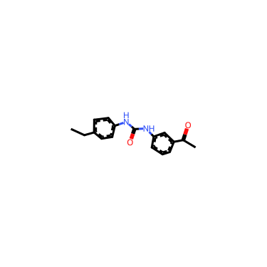 CCc1ccc(NC(=O)Nc2cccc(C(C)=O)c2)cc1